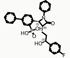 O=C1[C@H](CC[C@H](O)c2ccc(F)cc2)[C@@H](c2ccc(-c3ccccc3)cc2P(=O)(O)O)N1c1ccccc1